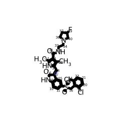 Cc1[nH]c(/C=C2\C(=O)Nc3ccc(S(=O)(=O)Cc4c(Cl)cccc4Cl)cc32)c(C)c1C(=O)NCCN1CCC(F)C1